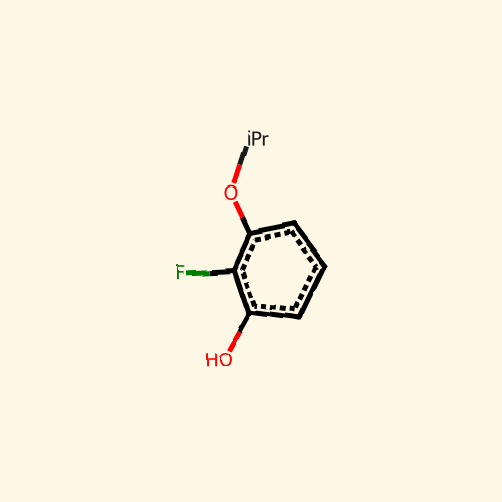 CC(C)Oc1cccc(O)c1F